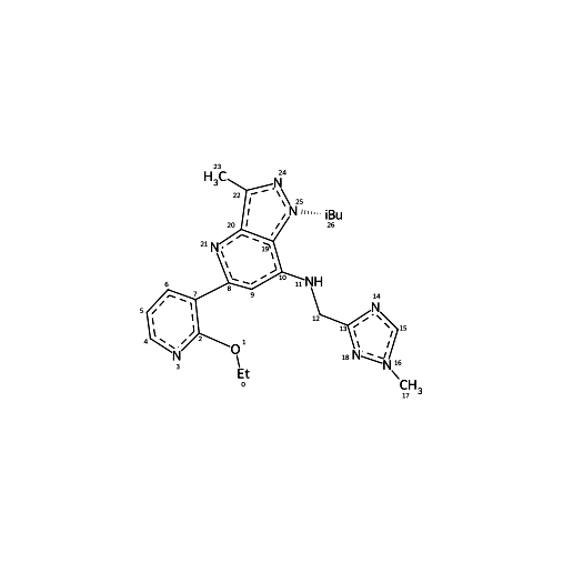 CCOc1ncccc1-c1cc(NCc2ncn(C)n2)c2c(n1)c(C)nn2[C@@H](C)CC